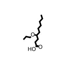 CCCCCCC(CCC(=O)O)OCCC